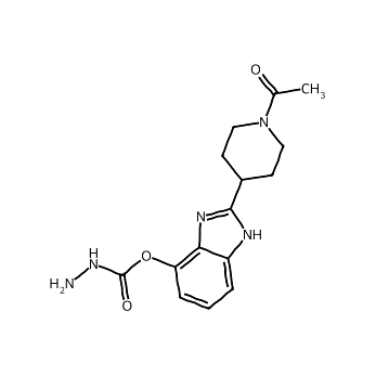 CC(=O)N1CCC(c2nc3c(OC(=O)NN)cccc3[nH]2)CC1